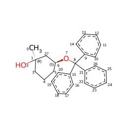 C[C@@]1(O)CCC[C@H](OC(c2ccccc2)(c2ccccc2)c2ccccc2)C1